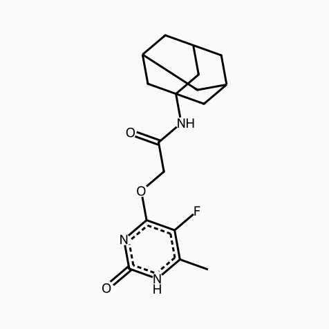 Cc1[nH]c(=O)nc(OCC(=O)NC23CC4CC(CC(C4)C2)C3)c1F